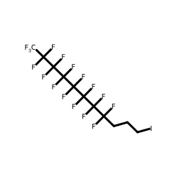 FC(F)(F)C(F)(F)C(F)(F)C(F)(F)C(F)(F)C(F)(F)C(F)(F)C(F)(F)CCCI